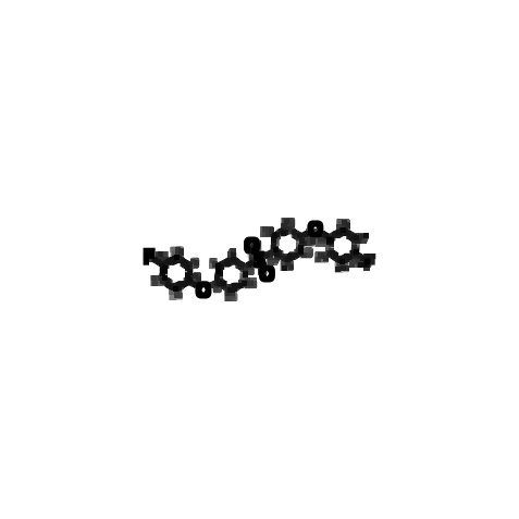 O=S(=O)(c1ccc(Oc2ccc(F)cc2)cc1)c1ccc(Oc2ccc(F)cc2)cc1